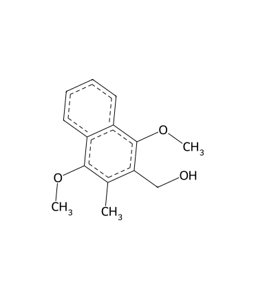 COc1c(C)c(CO)c(OC)c2ccccc12